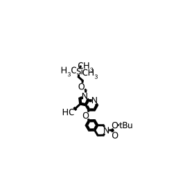 C#Cc1cn(COCC[Si](C)(C)C)c2nccc(Oc3ccc4c(c3)CN(C(=O)OC(C)(C)C)CC4)c12